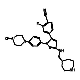 N#Cc1ccc(-c2cc(NC[C@H]3CCCNCC3)nn2-c2ccc(N3CC[S+]([O-])CC3)cc2)cc1F